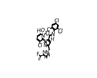 O=C(O)c1cc(Cl)cc(Cl)c1NC(=O)c1cc(Cn2nnc(C(F)F)n2)nn1-c1ncccc1Cl